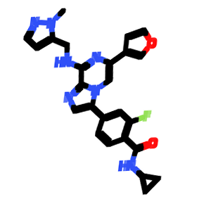 Cn1nccc1CNc1nc(-c2ccoc2)cn2c(-c3ccc(C(=O)NC4CC4)c(F)c3)cnc12